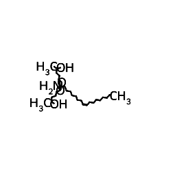 CCCCCCCC/C=C\CCCCCCCC(N)(OCCCC(C)O)OCCCC(C)O